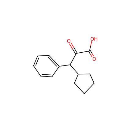 O=C(O)C(=O)C(c1ccccc1)C1CCCC1